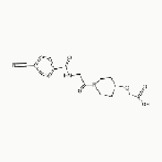 N#Cc1ccc(C(=O)NCC(=O)N2CCC(OCC(=O)O)CC2)cc1